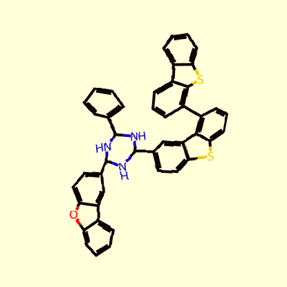 c1ccc(C2NC(c3ccc4oc5ccccc5c4c3)NC(c3ccc4sc5cccc(-c6cccc7c6sc6ccccc67)c5c4c3)N2)cc1